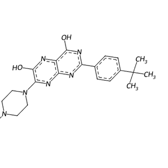 CN1CCN(c2nc3nc(-c4ccc(C(C)(C)C)cc4)nc(O)c3nc2O)CC1